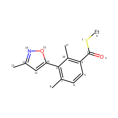 CCSC(=O)c1ccc(C)c(-c2cc(C)no2)c1C